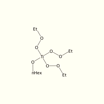 CCCCCC[O][Ti]([O]OCC)([O]OCC)[O]OCC